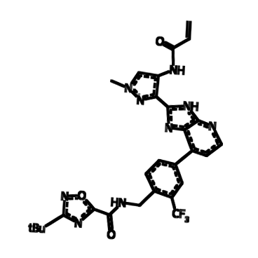 C=CC(=O)Nc1cn(C)nc1-c1nc2c(-c3ccc(CNC(=O)c4nc(C(C)(C)C)no4)c(C(F)(F)F)c3)ccnc2[nH]1